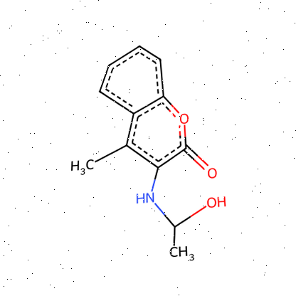 Cc1c(NC(C)O)c(=O)oc2ccccc12